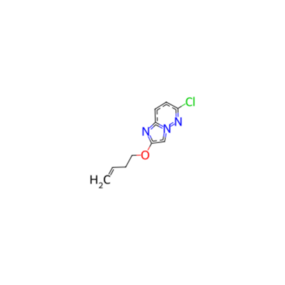 C=CCCOc1cn2nc(Cl)ccc2n1